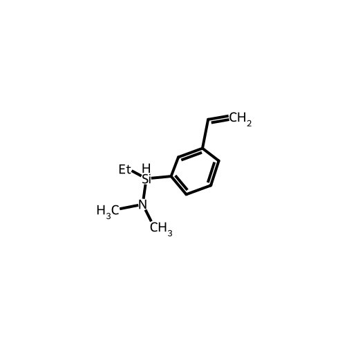 C=Cc1cccc([SiH](CC)N(C)C)c1